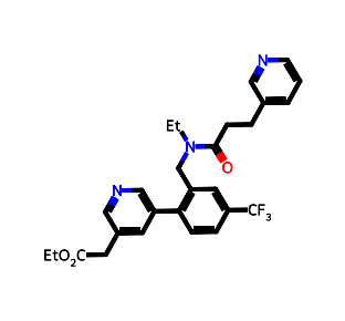 CCOC(=O)Cc1cncc(-c2ccc(C(F)(F)F)cc2CN(CC)C(=O)CCc2cccnc2)c1